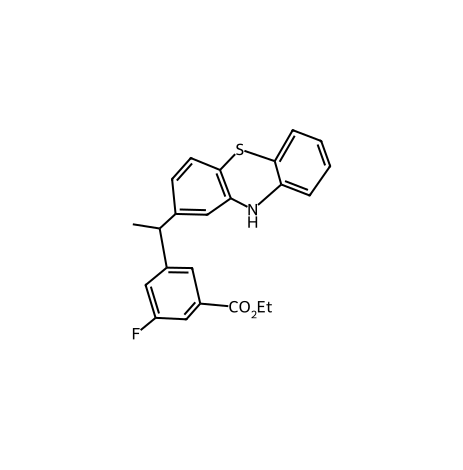 CCOC(=O)c1cc(F)cc(C(C)c2ccc3c(c2)Nc2ccccc2S3)c1